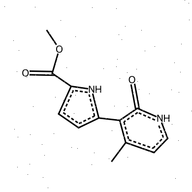 COC(=O)c1ccc(-c2c(C)cc[nH]c2=O)[nH]1